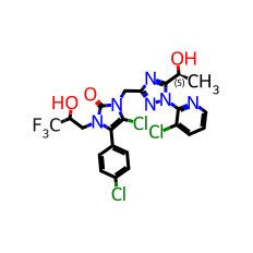 C[C@H](O)c1nc(Cn2c(Cl)c(-c3ccc(Cl)cc3)n(CC(O)C(F)(F)F)c2=O)nn1-c1ncccc1Cl